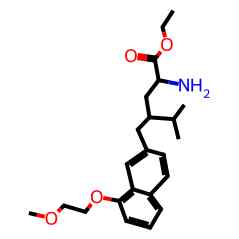 CCOC(=O)C(N)CC(Cc1ccc2cccc(OCCOC)c2c1)C(C)C